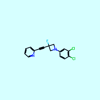 FC1(C#Cc2ccccn2)CN(c2ccc(Cl)c(Cl)c2)C1